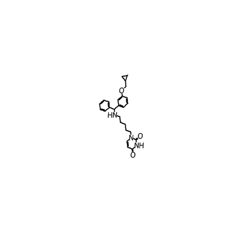 O=c1ccn(CCCCCNC(c2ccccc2)c2cccc(OCC3CC3)c2)c(=O)[nH]1